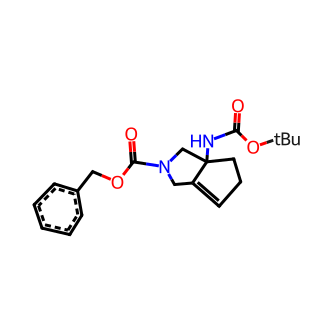 CC(C)(C)OC(=O)NC12CCC=C1CN(C(=O)OCc1ccccc1)C2